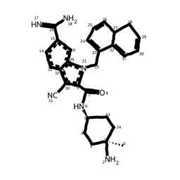 C[C@]1(N)CC[C@@H](NC(=O)c2c(C#N)c3ccc(C(=N)N)cc3n2CC2=CC=CC3CC=CC=C23)CC1